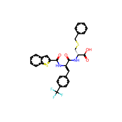 O=C(N[C@H](CSCc1ccccc1)C(=O)O)/C(=C/c1ccc(C(F)(F)F)cc1)NC(=O)c1cc2ccccc2s1